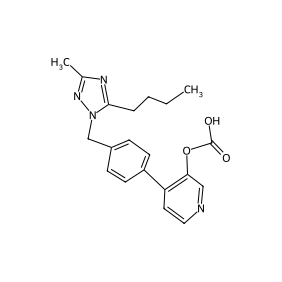 CCCCc1nc(C)nn1Cc1ccc(-c2ccncc2OC(=O)O)cc1